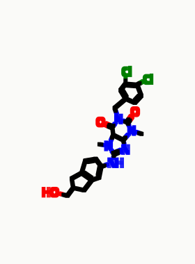 CN1C(=O)N(Cc2ccc(Cl)c(Cl)c2)C(=O)C2C1N=C(Nc1ccc3c(c1)CC(CO)C3)N2C